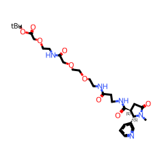 CN1C(=O)C[C@H](C(=O)NCCC(=O)NCCOCCOCC(=O)NCCOCC(=O)OC(C)(C)C)[C@H]1c1cccnc1